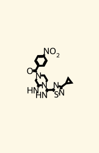 N=C1CN(C(=O)c2ccc([N+](=O)[O-])cc2)CCN1C(=N)c1nc(C2CC2)ns1